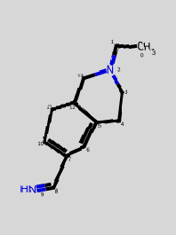 CCN1CCC2=CC(C=N)=CCC2C1